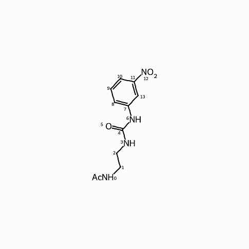 CC(=O)NCCNC(=O)Nc1cccc([N+](=O)[O-])c1